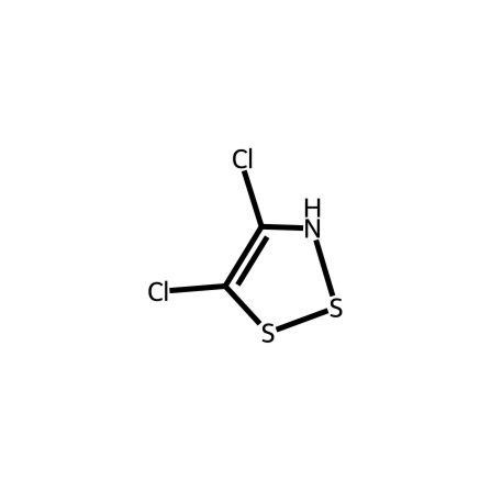 ClC1=C(Cl)SSN1